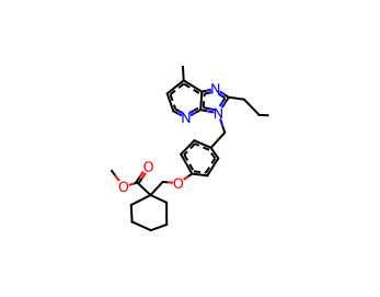 CCCc1nc2c(C)ccnc2n1Cc1ccc(OCC2(C(=O)OC)CCCCC2)cc1